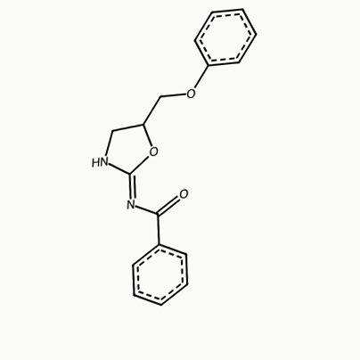 O=C(/N=C1/NCC(COc2ccccc2)O1)c1ccccc1